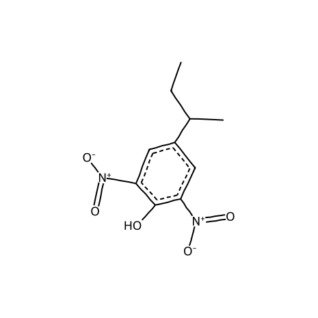 CCC(C)c1cc([N+](=O)[O-])c(O)c([N+](=O)[O-])c1